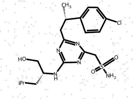 CC(C)C[C@H](CO)Nc1nc(C[C@H](C)c2ccc(Cl)cc2)nc(CS(N)(=O)=O)n1